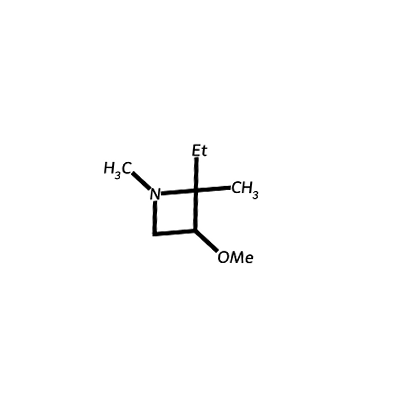 CCC1(C)C(OC)CN1C